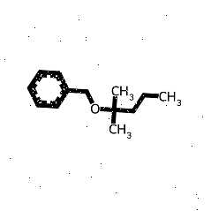 CCCC(C)(C)OCc1ccccc1